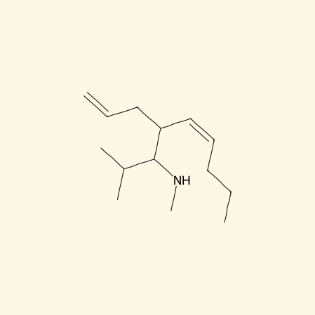 C=CCC(/C=C\CCC)C(NC)C(C)C